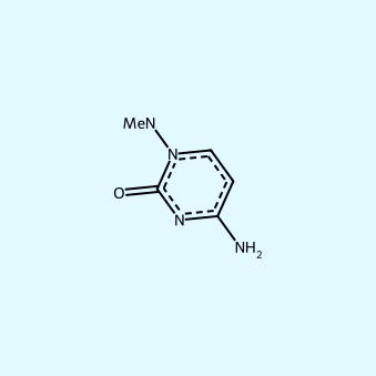 CNn1ccc(N)nc1=O